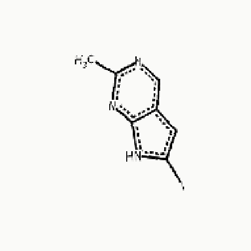 Cc1ncc2cc(I)[nH]c2n1